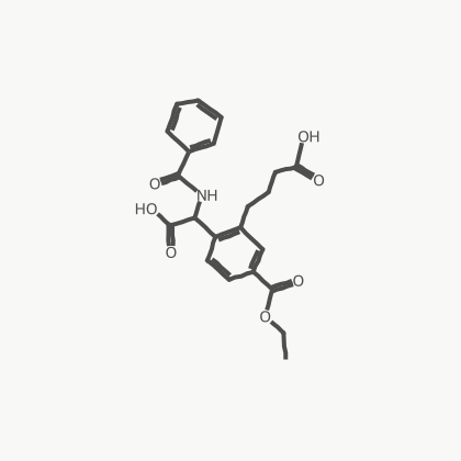 CCOC(=O)c1ccc(C(NC(=O)c2ccccc2)C(=O)O)c(CCCC(=O)O)c1